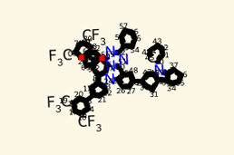 FC(F)(F)c1cc(-c2ccc3c(c2)c2cc(-c4cc(C(F)(F)F)cc(C(F)(F)F)c4)ccc2n3-c2ccc(-c3ccc4c5ccccc5n(-c5ccccc5)c4c3)cc2-c2nc(-c3ccccc3)nc(-c3ccccc3)n2)cc(C(F)(F)F)c1